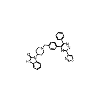 O=c1[nH]c2ccccc2n1C1CCN(Cc2ccc(-c3nc(-c4cscn4)nnc3-c3ccccc3)cc2)CC1